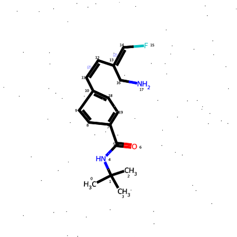 CC(C)(C)NC(=O)c1ccc(/C=C\C(=C\F)CN)cc1